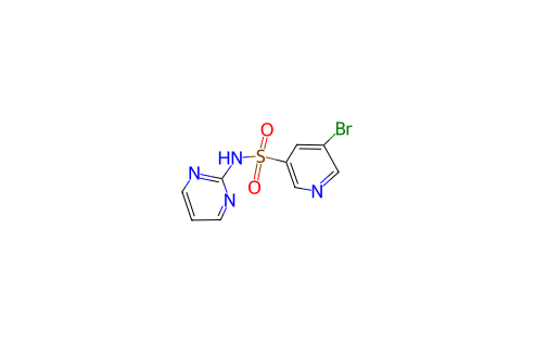 O=S(=O)(Nc1ncccn1)c1cncc(Br)c1